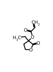 C=CC(=O)OC1(CC)CCOC1=O